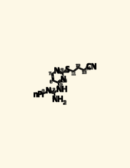 CCCN=C(N)Nc1ccnc(SCCCC#N)n1